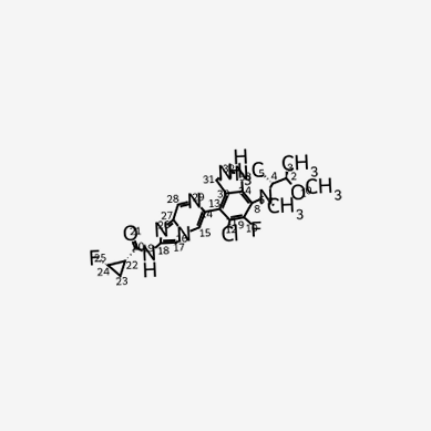 CO[C@H](C)[C@@H](C)N(C)c1c(F)c(Cl)c(-c2cn3cc(NC(=O)[C@@H]4C[C@@H]4F)nc3cn2)c2cn[nH]c12